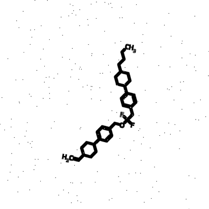 C=CC1CCC(c2ccc(COC(F)(F)Cc3ccc(C4CCC(CCCC)CC4)cc3)cc2)CC1